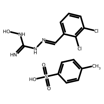 Cc1ccc(S(=O)(=O)O)cc1.N=C(NO)NN=Cc1cccc(Cl)c1Cl